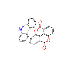 O=c1oc2cccc3c(=O)oc4cccc1c4c23.c1ccc2c(c1)cnc1ccccc12